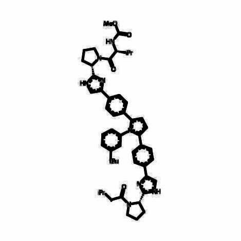 COC(=O)N[C@H](C(=O)N1CCC[C@H]1c1nc(-c2ccc(-c3ccc(-c4ccc(-c5c[nH]c([C@@H]6CCCN6C(=O)[CH]C(C)C)n5)cc4)n3-c3cccc(C(C)(C)C)c3)cc2)c[nH]1)C(C)C